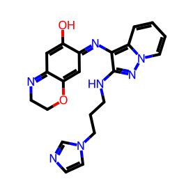 OC1=CC2=NCCOC2=C/C1=N\c1c(NCCCn2ccnc2)nn2ccccc12